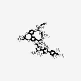 Cc1nc(-c2ccc(C(C)(C)C)cc2)nc(C)c1C(=O)N[C@@H](CCN)C(=O)N(C)[C@@H]1C(=O)N[C@@H](C)C(=O)N[C@H](C(=O)NCC#N)Cc2ccc3c(c2)-c2cc1ccc2OCC(O)(CN)CO3